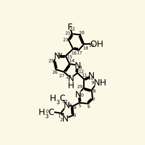 Cc1ncc(-c2ccc3[nH]nc(-c4nc5c(-c6cc(O)cc(F)c6)nccc5[nH]4)c3n2)n1C